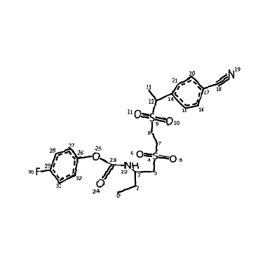 CCC(CS(=O)(=O)CCS(=O)(=O)C(C)c1ccc(C#N)cc1)NC(=O)Oc1ccc(F)cc1